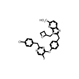 O=C(O)c1ccc2nc(Cc3ccc(Oc4nc(Cc5ccc(Cl)cc5)ncc4F)cc3)n(CC3CCO3)c2n1